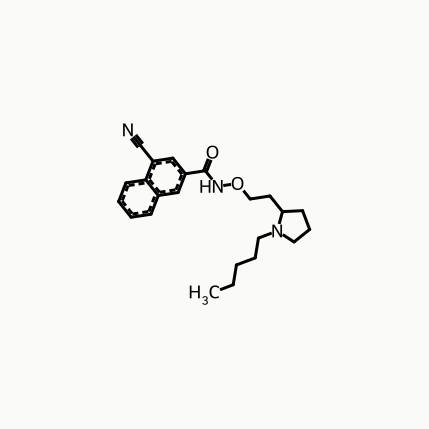 CCCCCN1CCCC1CCONC(=O)c1cc(C#N)c2ccccc2c1